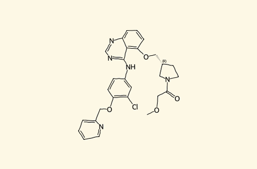 COCC(=O)N1CC[C@@H](COc2cccc3ncnc(Nc4ccc(OCc5ccccn5)c(Cl)c4)c23)C1